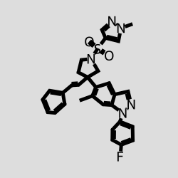 Cc1cc2c(cnn2-c2ccc(F)cc2)cc1C1(/C=C/c2ccccc2)CCN(S(=O)(=O)c2cnn(C)c2)C1